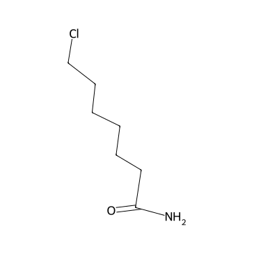 NC(=O)CCCCCCCl